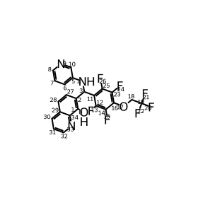 Oc1c(C(Nc2cccnc2)c2c(F)c(F)c(OCC(F)(F)F)c(F)c2F)ccc2cccnc12